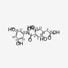 CN(C(=O)c1cc(O)c(CC(=O)O)cc1O)c1cc(O)cc(O)c1